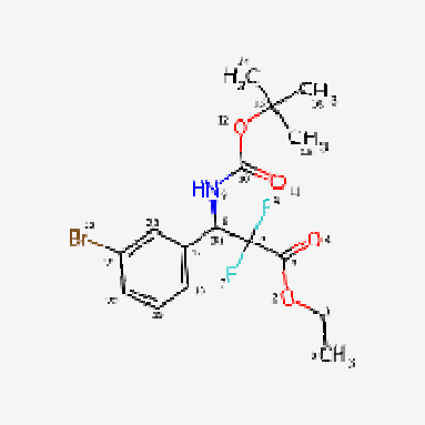 CCOC(=O)C(F)(F)[C@H](NC(=O)OC(C)(C)C)c1cccc(Br)c1